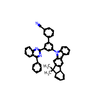 CC1(C)c2cc3c(cc2C2C=CC=CC21)c1ccccc1n3-c1cc(-c2cccc(C#N)c2)cc(-c2nc(-c3ccccc3)c3ccccc3n2)c1